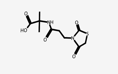 CC(C)(NC(=O)CCN1C(=O)CSC1=O)C(=O)O